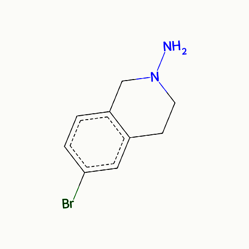 NN1CCc2cc(Br)ccc2C1